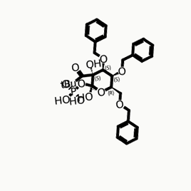 CC(C)(C)C(=O)[C@@]1(O)[C@@H](OCc2ccccc2)[C@@H](OCc2ccccc2)[C@@H](COCc2ccccc2)O[C@]1(O)OP(=O)(O)O